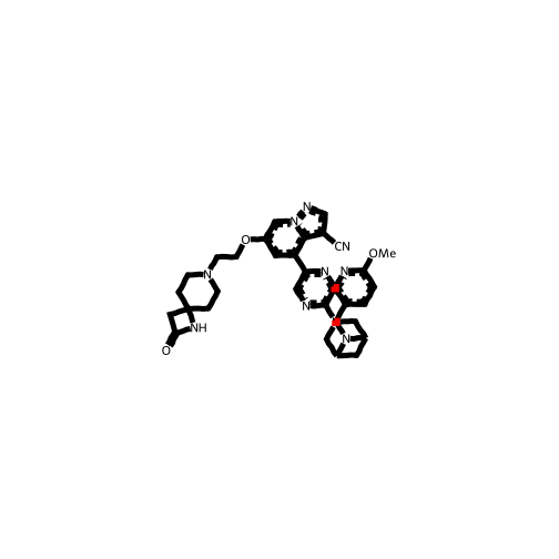 COc1ccc(CN2C3CC2CN(c2cnc(-c4cc(OCCN5CCC6(CC5)CC(=O)N6)cn5ncc(C#N)c45)cn2)C3)cn1